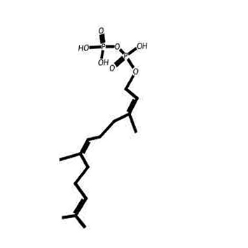 CC(C)=CCC/C(C)=C\CC/C(C)=C\COP(=O)(O)OP(=O)(O)O